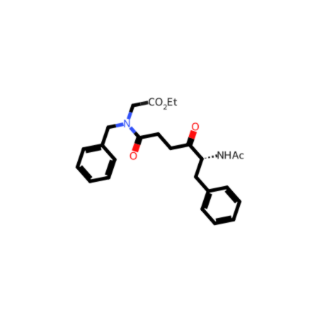 CCOC(=O)CN(Cc1ccccc1)C(=O)CCC(=O)[C@@H](Cc1ccccc1)NC(C)=O